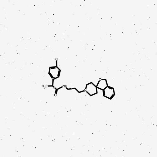 CC(C(=O)NCCCN1CCC2(CC1)OCc1ccccc12)c1ccc(Cl)cc1